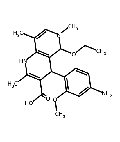 CCOC1C2=C(NC(C)=C(C(=O)O)C2c2ccc(N)cc2OC)C(C)=CN1C